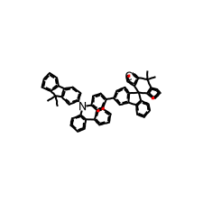 CC1(C)c2ccccc2-c2ccc(N(c3ccc(-c4ccc5c(c4)-c4ccccc4C54c5ccccc5C(C)(C)c5ccccc54)cc3)c3ccccc3-c3ccccc3)cc21